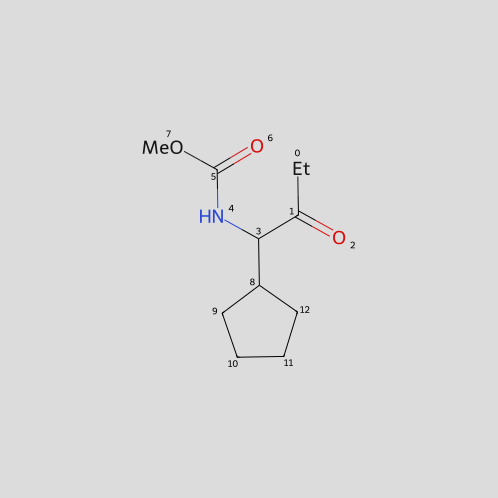 CCC(=O)C(NC(=O)OC)C1CCCC1